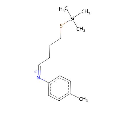 Cc1ccc(/N=C\CCCS[Si](C)(C)C)cc1